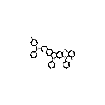 Cc1ccc(N(c2ccccc2)c2ccc3cc4c5cc6c(cc5n(-c5ccccc5)c4cc3c2)B2c3ccccc3Oc3cccc(c32)O6)cc1